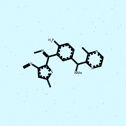 C=Nc1cc(C)sc1/C(=N\C)c1cc(C(NC)c2nccnc2C)ccc1P